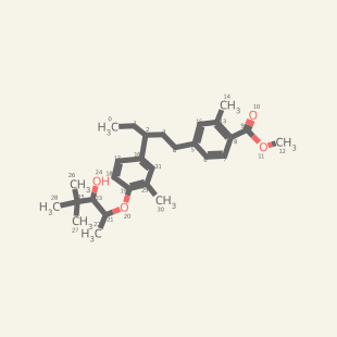 CCC(CCc1ccc(C(=O)OC)c(C)c1)c1ccc(OC(C)C(O)C(C)(C)C)c(C)c1